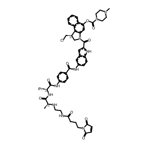 CC(C)[C@H](NC(=O)[C@H](C)NCCNC(=O)CCCN1C(=O)C=CC1=O)C(=O)Nc1ccc(C(=O)Nc2ccc3[nH]c(C(=O)N4C[C@@H](CCl)c5c4cc(OC(=O)N4CCN(C)CC4)c4ccccc54)cc3c2)cc1